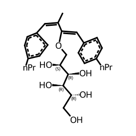 CCCc1ccc(C=C(C)C(=Cc2ccc(CCC)cc2)OC[C@H](O)[C@@H](O)[C@H](O)[C@H](O)CO)cc1